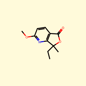 CCC1(C)OC(=O)c2ccc(OC)nc21